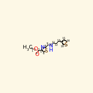 CCOC(=O)c1csc(CNCCCc2ccsc2)n1